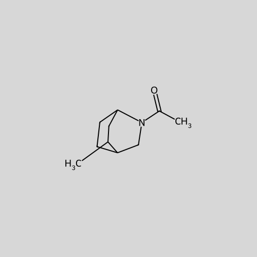 CC(=O)N1CC2CCC1CC2C